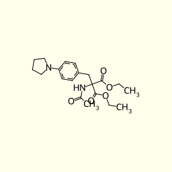 CCOC(=O)C(Cc1ccc(N2CCCC2)cc1)(NC(C)=O)C(=O)OCC